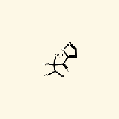 CCCC(CC)C(N)(C(=O)O)C(=O)c1ccno1